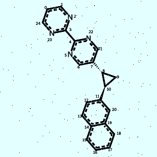 c1cnc(-c2ncc([C@@H]3C[C@H]3c3ccc4ccccc4c3)cn2)nc1